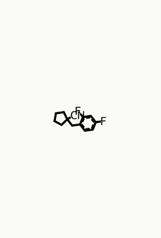 N#CC1(Cc2ccc(F)cc2F)CCCC1